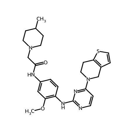 COc1cc(NC(=O)CN2CCC(C)CC2)ccc1Nc1nccc(N2CCc3sccc3C2)n1